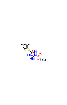 Cc1cc(C)c(SCC(=O)NC(=N)NC(=O)OC(C)(C)C)c(C)c1